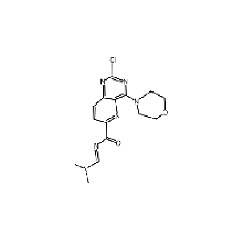 CN(C)C=NC(=O)c1ccc2nc(Cl)nc(N3CCOCC3)c2n1